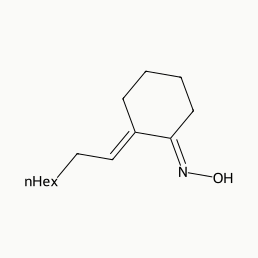 CCCCCCC/C=C1\CCCC\C1=N/O